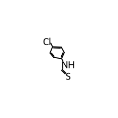 S=CNc1ccc(Cl)cc1